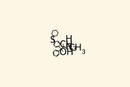 CNCC(C)C(O)(c1ccccc1)c1ccc(SC2CCCCC2)cc1